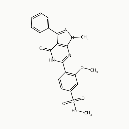 CNS(=O)(=O)c1ccc(-c2nc3c(c(-c4ccccc4)nn3C)c(=O)[nH]2)c(OC)c1